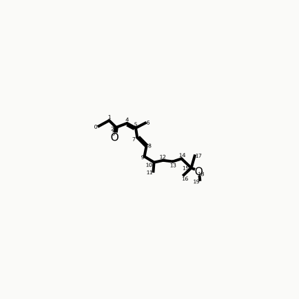 CCC(=O)C=C(C)C=CCC(C)CCCC(C)(C)OC